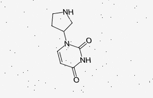 O=c1ccn(C2CCNC2)c(=O)[nH]1